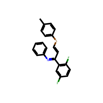 Cc1ccc(SC=CC(=Nc2ccccc2)c2cc(F)ccc2F)cc1